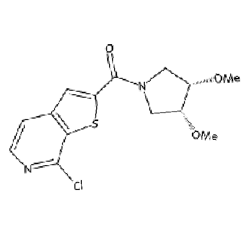 CO[C@H]1CN(C(=O)c2cc3ccnc(Cl)c3s2)C[C@H]1OC